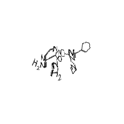 NC(=O)c1c(N)ncnc1N1CCC(c2nc(C3CCCCC3)cn2CCN2CCC2)CC1